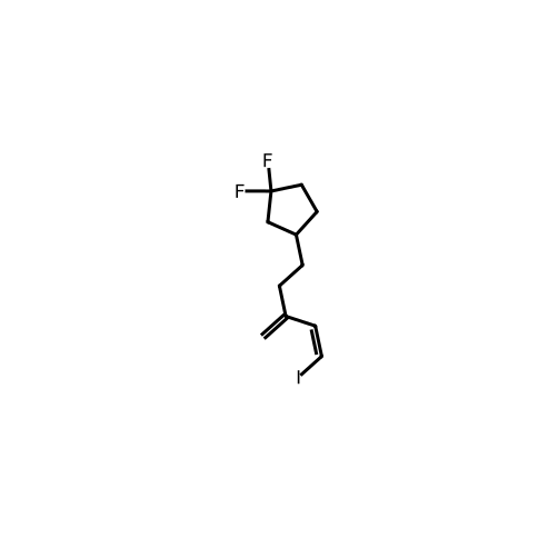 C=C(/C=C\I)CCC1CCC(F)(F)C1